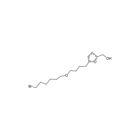 OCc1ccc(CCCCOCCCCCCBr)o1